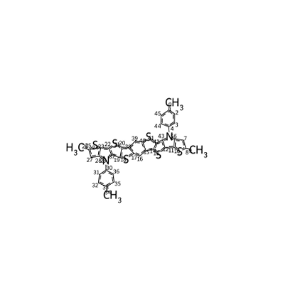 Cc1ccc(-n2c3cc(C)sc3c3sc4c5cc6sc7c(sc8c9sc(C)cc9n(-c9ccc(C)cc9)c78)c6cc5sc4c32)cc1